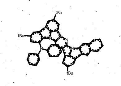 CC(C)(C)c1cc(N(c2ccccc2)c2ccccc2)c2c(c1)c1cc(C(C)(C)C)cc3c4nc5c(cc4n2c13)c1cc(C(C)(C)C)cc2c3cc4ccccc4cc3n5c21